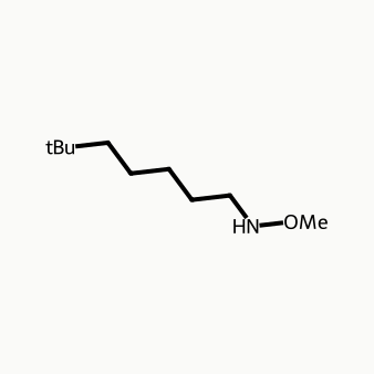 CONCCCCCC(C)(C)C